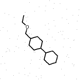 CCOCC1CCC(C2CCCCC2)CC1